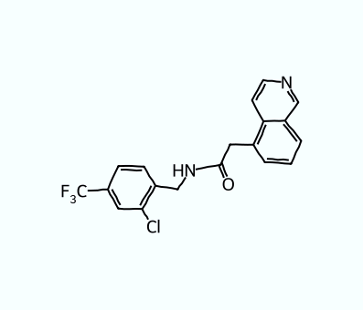 O=C(Cc1cccc2cnccc12)NCc1ccc(C(F)(F)F)cc1Cl